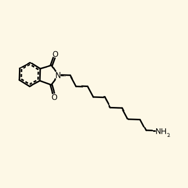 NCCCCCCCCCCN1C(=O)c2ccccc2C1=O